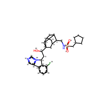 O=S(=O)(CC1CCCC1)NCC1C2CC3CC1CC(C(O)CC1c4c(F)cccc4-c4cncn41)(C3)C2